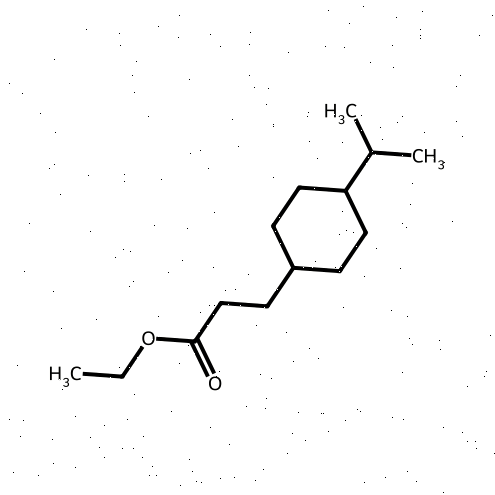 CCOC(=O)CCC1CCC(C(C)C)CC1